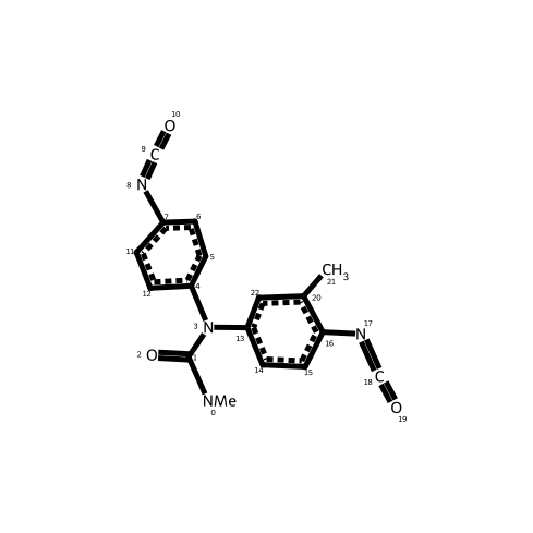 CNC(=O)N(c1ccc(N=C=O)cc1)c1ccc(N=C=O)c(C)c1